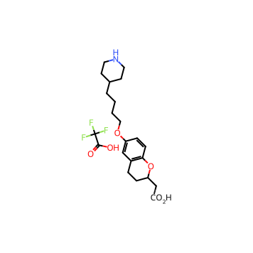 O=C(O)C(F)(F)F.O=C(O)CC1CCc2cc(OCCCCC3CCNCC3)ccc2O1